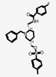 Cc1ccc(S(=O)(=O)OC[C@H]2CC[C@@H](CNC(=O)c3ccc(F)cc3)N(Cc3ccccc3)C2)cc1